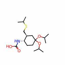 CC(C)OC1(OC(C)C)CC[C@H](NC(=O)O)[C@@H](CSC(C)C)C1